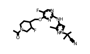 CC(=O)N1CCC(COc2nc(Nc3cn(C(C)(C)C#N)nc3C)ncc2F)C(F)C1